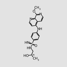 COc1nccc2c(Nc3ccc(S(=N)(=O)NC[C@@H](C)O)cc3)ccnc12